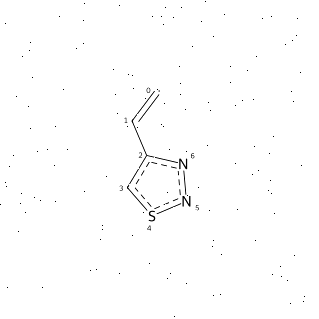 [CH]=Cc1csnn1